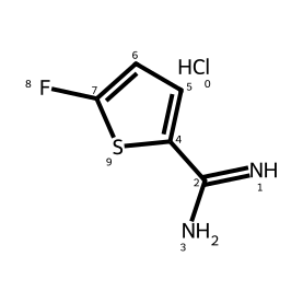 Cl.N=C(N)c1ccc(F)s1